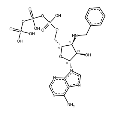 Nc1ncnc2c1ncn2[C@@H]1O[C@H](COP(=O)(O)OP(=O)(O)OP(=O)(O)O)[C@@H](NCc2ccccc2)[C@H]1O